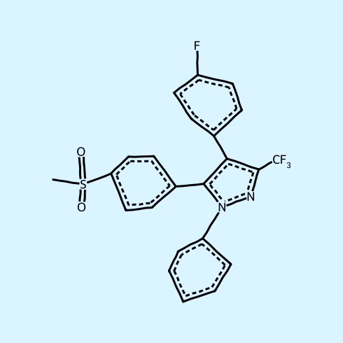 CS(=O)(=O)c1ccc(-c2c(-c3ccc(F)cc3)c(C(F)(F)F)nn2-c2ccccc2)cc1